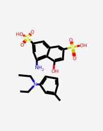 CCN(CC)c1cccc(C)c1.Nc1cc(S(=O)(=O)O)cc2cc(S(=O)(=O)O)cc(O)c12